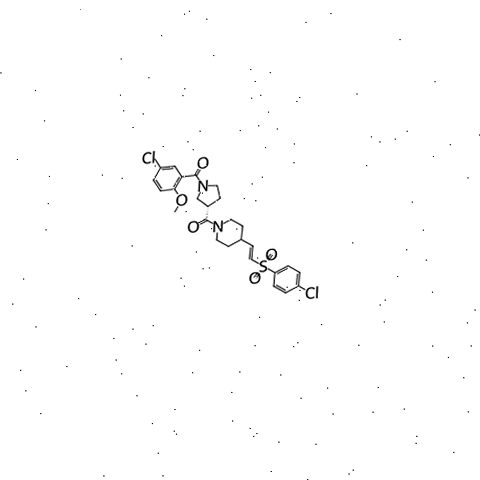 COc1ccc(Cl)cc1C(=O)N1CC[C@H](C(=O)N2CCC(/C=C/S(=O)(=O)c3ccc(Cl)cc3)CC2)C1